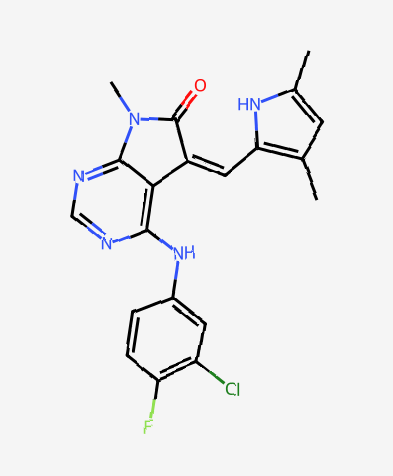 Cc1cc(C)c(C=C2C(=O)N(C)c3ncnc(Nc4ccc(F)c(Cl)c4)c32)[nH]1